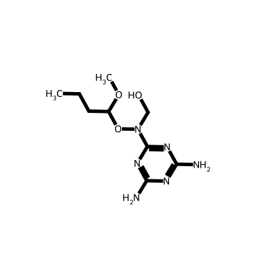 CCCC(OC)ON(CO)c1nc(N)nc(N)n1